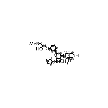 CNCC(O)COc1cccc(-c2nc(N[C@@H]3CCOC3)c(C)c(N3C[C@H]4CNC[C@H]4C3)n2)c1